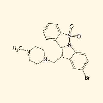 CN1CCN(Cc2c3n(c4ccc(Br)cc24)S(=O)(=O)c2ccccc2-3)CC1